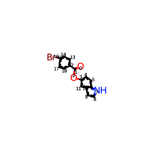 O=C(Oc1ccc2[nH]ccc2c1)c1ccc(Br)cc1